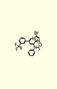 CC(=O)N(c1ccccc1)c1cc(-c2cccc(C(F)(F)F)c2)cn2c(Br)cnc12